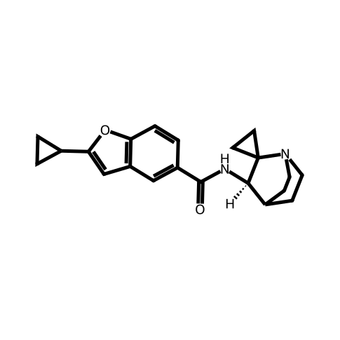 O=C(N[C@@H]1C2CCN(CC2)C12CC2)c1ccc2oc(C3CC3)cc2c1